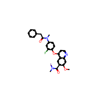 COc1cc2nccc(Oc3ccc(N(C)C(=O)Cc4ccccc4)cc3F)c2cc1C(=O)N(C)I